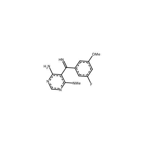 CNc1ncnc(N)c1C(=N)c1cc(F)cc(OC)c1